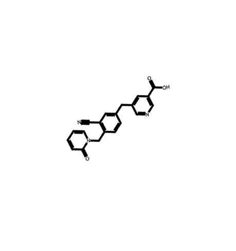 N#Cc1cc(Cc2cncc(C(=O)O)c2)ccc1Cn1ccccc1=O